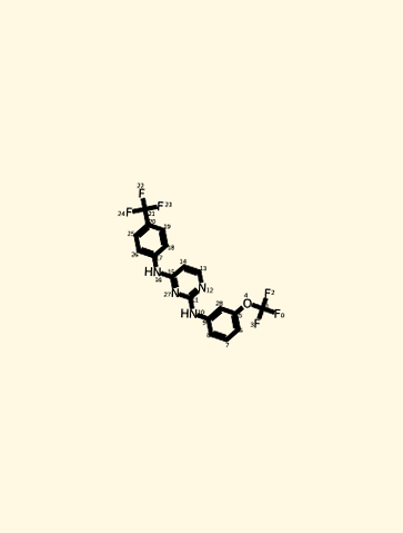 FC(F)(F)Oc1cccc(Nc2nccc(Nc3ccc(C(F)(F)F)cc3)n2)c1